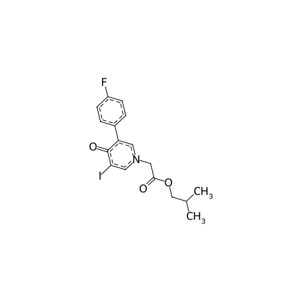 CC(C)COC(=O)Cn1cc(I)c(=O)c(-c2ccc(F)cc2)c1